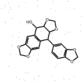 OC1c2cc3c(cc2C(c2ccc4c(c2)OCO4)C2OCOC12)OCO3